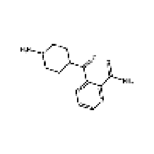 NC(=O)c1ccccc1C(=O)C1CCC(N)CC1